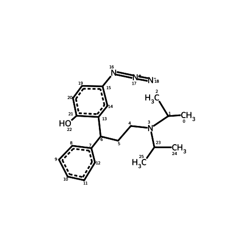 CC(C)N(CCC(c1ccccc1)c1cc(N=[N+]=[N-])ccc1O)C(C)C